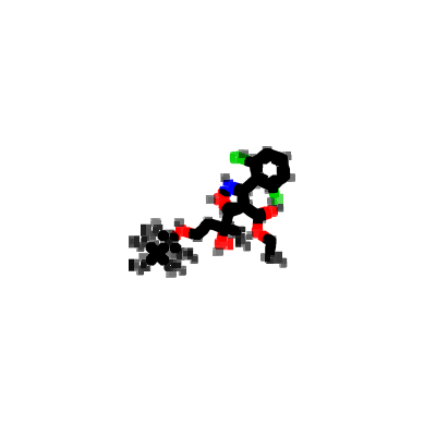 CCOC(=O)c1c(-c2c(Cl)cccc2Cl)noc1C(C)(O)CCO[Si](C)(C)C(C)(C)C